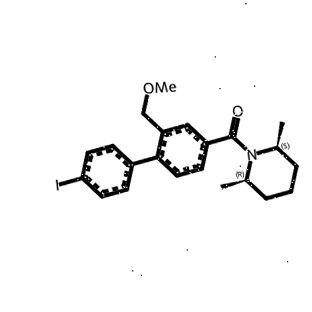 COCc1cc(C(=O)N2[C@H](C)CCC[C@@H]2C)ccc1-c1ccc(I)cc1